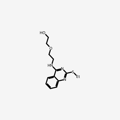 CCSc1nc(NCCOCCO)c2ccccc2n1